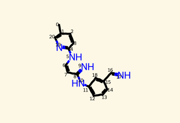 Cc1ccc(N/C=C\C(=N)Nc2cccc(C=N)c2)nc1